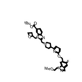 COCCn1ncc2cc(F)c(COc3cccc(C4CCN(Cc5nc6ccc(C(=O)OC(C)(C)C)cc6n5CC5CCO5)CC4)n3)cc21